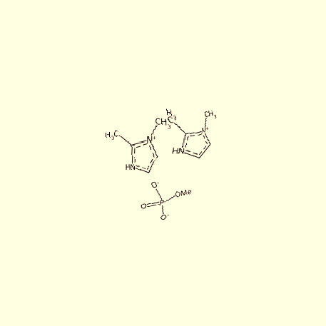 COP(=O)([O-])[O-].Cc1[nH]cc[n+]1C.Cc1[nH]cc[n+]1C